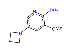 COc1cc(N2CCC2)cnc1N